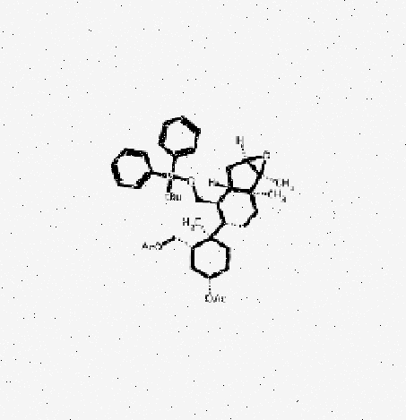 CC(=O)OC[C@H]1C[C@@H](OC(C)=O)CC[C@]1(C)[C@H]1CC[C@@]2(C)[C@@H](C[C@H]3O[C@]32C)[C@@H]1CO[Si](c1ccccc1)(c1ccccc1)C(C)(C)C